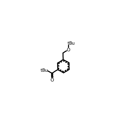 CC(C)(C)OCc1cccc(C(=O)C(C)(C)C)c1